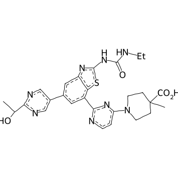 CCNC(=O)Nc1nc2cc(-c3cnc(C(C)O)nc3)cc(-c3nccc(N4CCC(C)(C(=O)O)CC4)n3)c2s1